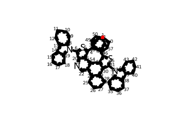 c1ccc(-c2sc(-n3c4ccccc4c4ccccc43)c3ncc4c5ccccc5c5c(-n6c7ccccc7c7ccccc76)sc(-c6ccccc6)c5c4c23)cc1